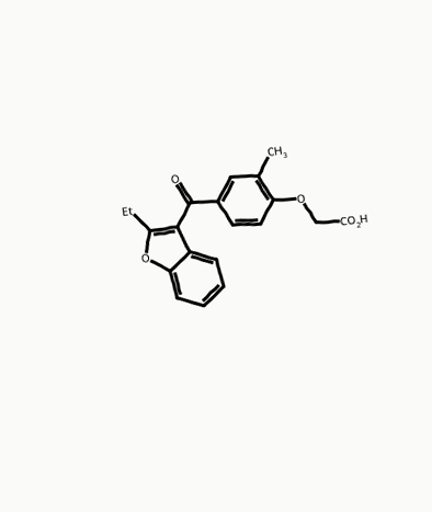 CCc1oc2ccccc2c1C(=O)c1ccc(OCC(=O)O)c(C)c1